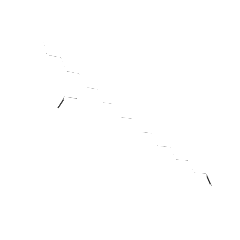 C=CCN(CCCCCCCCCCCC/C=C\CCCCCCCC)CCCN(C)C